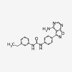 CCc1cccc(NC(=O)Nc2ccc(-c3noc4ncnc(N)c34)cc2)c1